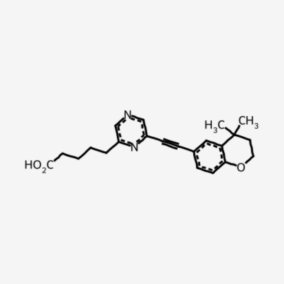 CC1(C)CCOc2ccc(C#Cc3cncc(CCCCC(=O)O)n3)cc21